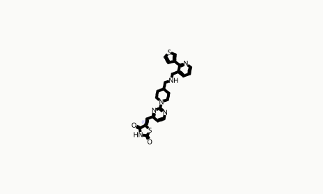 O=C1NC(=O)/C(=C/c2ccnc(N3CCC(CNCc4cccnc4-c4ccsc4)CC3)n2)S1